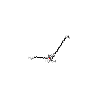 CCCCCCCCCCCCCCCCOCC(O)CN(C(=O)OCCCCCCCCCCCC)C(C)O